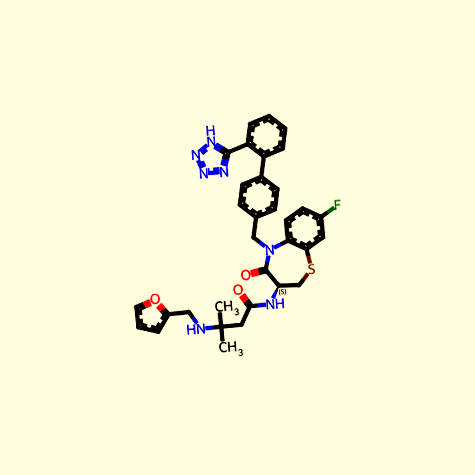 CC(C)(CC(=O)N[C@@H]1CSc2cc(F)ccc2N(Cc2ccc(-c3ccccc3-c3nnn[nH]3)cc2)C1=O)NCc1ccco1